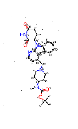 CN(C(=O)OC(C)(C)C)C1CCN(Cc2ccnc3c2c2ccccc2n3C2CCC(=O)NC2=O)CC1